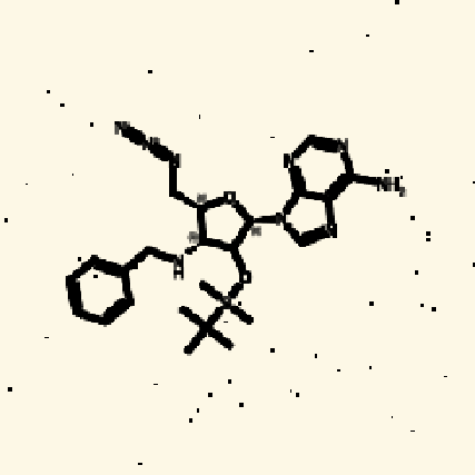 CC(C)(C)[Si](C)(C)OC1[C@H](n2cnc3c(N)ncnc32)O[C@H](CN=[N+]=[N-])[C@H]1NCc1ccccc1